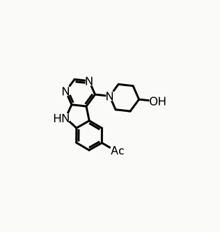 CC(=O)c1ccc2[nH]c3ncnc(N4CCC(O)CC4)c3c2c1